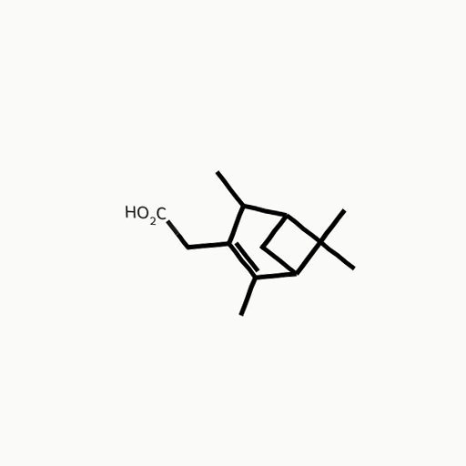 CC1=C(CC(=O)O)C(C)C2CC1C2(C)C